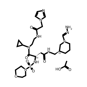 CC(=O)O.NN=CN1CCC[C@@H](CNC(=O)C[C@H](NS(=O)(=O)N2CCOCC2)C(=O)N(CCNC(=O)Cn2ccnc2)C2CC2)C1